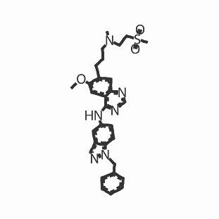 COc1cc2c(Nc3ccc4c(cnn4Cc4ccccc4)c3)ncnc2cc1CCCN(C)CCS(C)(=O)=O